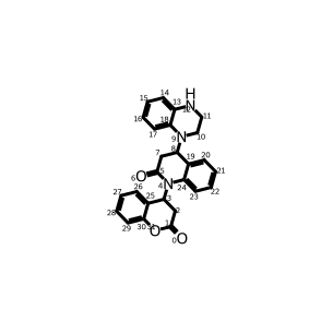 O=C1CC(N2C(=O)CC(N3CCNc4ccccc43)c3ccccc32)c2ccccc2O1